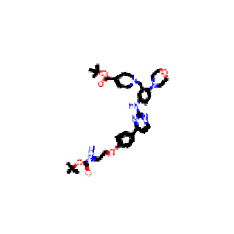 CC(C)(C)OC(=O)NCCOc1ccc(-c2ccnc(Nc3ccc(N4CCOCC4)c(CN4CCC(C(=O)OC(C)(C)C)CC4)c3)n2)cc1